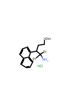 CCCCCCCCCCCCC(c1cccc2ccccc12)C(N)(CC)CC.Cl